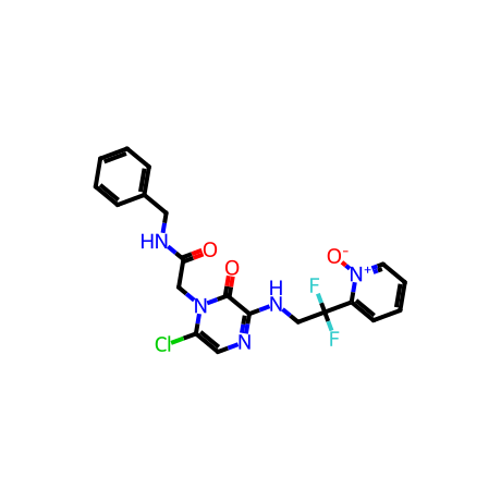 O=C(Cn1c(Cl)cnc(NCC(F)(F)c2cccc[n+]2[O-])c1=O)NCc1ccccc1